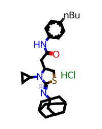 CCCCc1ccc(NC(=O)CC2CS/C(=N\C34CC5CC(CC(C5)C3)C4)N2C2CC2)cc1.Cl